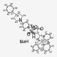 O=C(O)C(CSC(c1ccccc1)(c1ccccc1)c1ccccc1)NS(=O)(=O)c1ccc(N2CCC(c3ccccc3)CC2)cc1.[NaH]